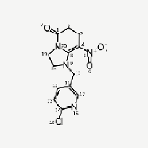 O=C1CCC([N+](=O)[O-])=C2N(Cc3ccc(Cl)nc3)CCN12